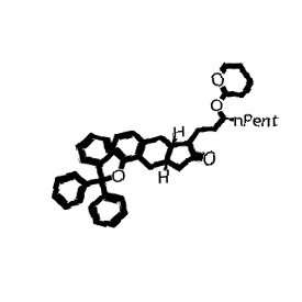 CCCCC[C@@H](CCC1C(=O)C[C@@H]2Cc3c(cccc3OC(c3ccccc3)(c3ccccc3)c3ccccc3)C[C@H]12)OC1CCCCO1